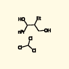 CCCC(O)C(CC)CO.ClC(Cl)Cl